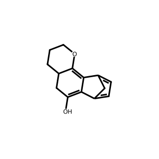 OC1=C2C3=CC=C(C3)C2=C2OCCCC2C1